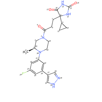 C[C@H]1CN(C(=O)CCC2(C3CC3)NC(=O)NC2=O)CCN1c1cc(F)cc(-c2cn[nH]c2)c1